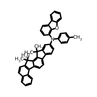 Cc1ccc(N(c2ccc3c(c2)C(C)(C)c2c-3ccc3c2C(C)(C)c2ccc4ccccc4c2-3)c2cccc3c2oc2ccccc23)cc1